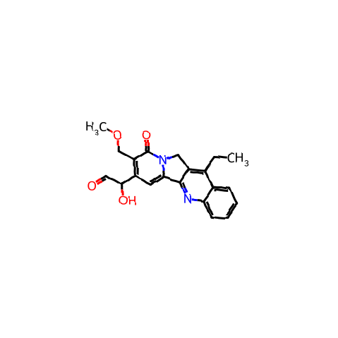 CCc1c2c(nc3ccccc13)-c1cc(C(O)C=O)c(COC)c(=O)n1C2